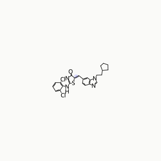 O=C1N=C(Nc2c(Cl)cccc2Cl)S/C1=C\c1ccc2ncn(CCC3CCCC3)c2c1